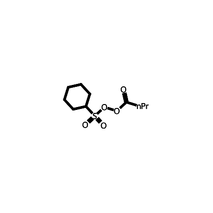 CCCC(=O)OOS(=O)(=O)C1CCCCC1